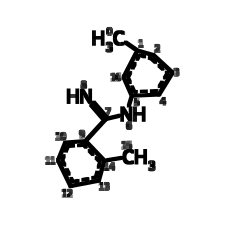 Cc1cccc(NC(=N)c2ccccc2C)c1